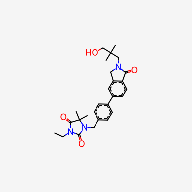 CCN1C(=O)N(Cc2ccc(-c3ccc4c(c3)CN(CC(C)(C)CO)C4=O)cc2)C(C)(C)C1=O